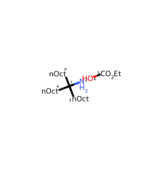 CCCCCCCCC(N)(CCCCCCCC)CCCCCCCC.CCOC(=O)O